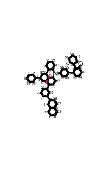 c1ccc(-c2cccc(-c3ccccc3N(c3ccc(-c4cccc(-c5ccc6ccccc6c5)c4)cc3)c3ccc(-c4cccc5oc6ccccc6c45)cc3)c2)cc1